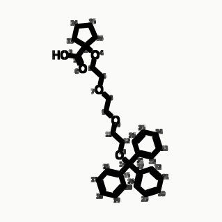 O=C(O)C1(OCCOCCOCCOC(c2ccccc2)(c2ccccc2)c2ccccc2)CCCC1